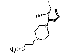 COCCN1CCN(c2cccc(F)c2O)CC1